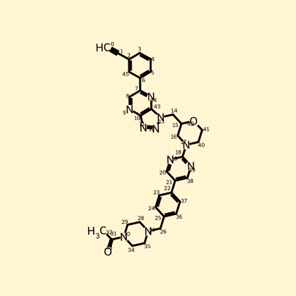 C#Cc1cccc(-c2cnc3nnn(CC4CN(c5ncc(-c6ccc(CN7CCN(C(C)=O)CC7)cc6)cn5)CCO4)c3n2)c1